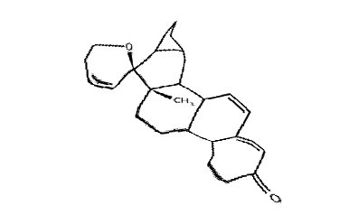 C[C@]12CCC3C4CCC(=O)C=C4C=CC3C1C1CC1[C@@]21C=CCO1